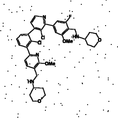 COc1cc(-c2nccc(-c3cccc(-c4ccc(CNC5CCOCC5)c(OC)n4)c3Cl)c2Cl)cc(F)c1CNC1CCOCC1